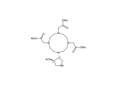 COC(=O)CN1CCN(CC(=O)OC)CCN([C@@H]2CNC[C@H]2OC(C)=O)CCN(CC(=O)OC)CC1